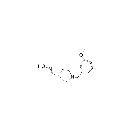 COc1cccc(CN2CCC(C=NO)CC2)c1